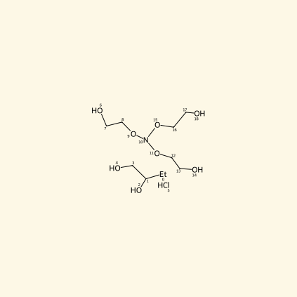 CCC(O)CO.Cl.OCCON(OCCO)OCCO